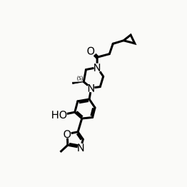 Cc1ncc(-c2ccc(N3CCN(C(=O)CCC4CC4)C[C@@H]3C)cc2O)o1